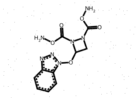 NOC(=O)N1CC(On2nnc3ccccc32)N1C(=O)ON